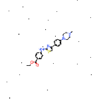 CCOC(=O)c1ccc(Nc2nc(-c3ccc(N4CCN(C)CC4)cc3)cs2)cc1